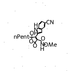 CCCCCC1(O)OC(=O)C(C(=O)NOC)=C1c1cc2cc(C#N)ccc2[nH]1